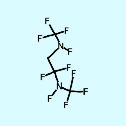 FN(CC(F)(F)N(F)C(F)(F)F)C(F)(F)F